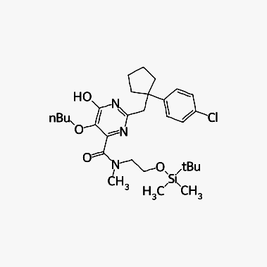 CCCCOc1c(O)nc(CC2(c3ccc(Cl)cc3)CCCC2)nc1C(=O)N(C)CCO[Si](C)(C)C(C)(C)C